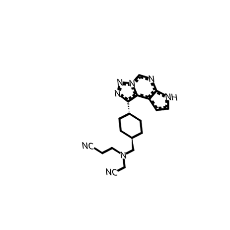 N#CCCN(CC#N)C[C@H]1CC[C@H](c2nnn3cnc4[nH]ccc4c23)CC1